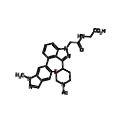 CC(=O)N1CCC(c2nn(CC(=O)NCC(=O)O)c3cccc(-c4cc5c(cnn5C)cc4F)c23)CC1